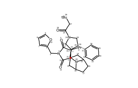 CC(C)N1C(=O)N(Cc2ccco2)C(=O)C12CC1CCC(C2)N1C[C@H]1CN(C(=O)CC(C)(C)C)C[C@@H]1c1ccccc1